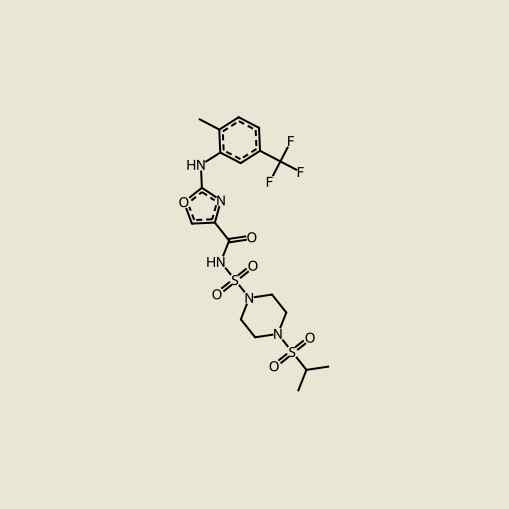 Cc1ccc(C(F)(F)F)cc1Nc1nc(C(=O)NS(=O)(=O)N2CCN(S(=O)(=O)C(C)C)CC2)co1